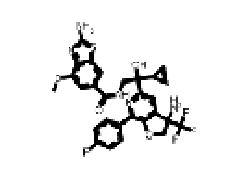 COc1cc(C(=O)NCC(O)(c2cc3c(c(-c4ccc(F)cc4)n2)OCC3(N)C(F)(F)F)C2CC2)cc2sc(N)nc12